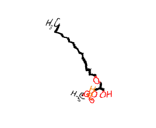 CCCCCCCCCCCCCCCCCCOCC(CO)CO[PH](=O)OC